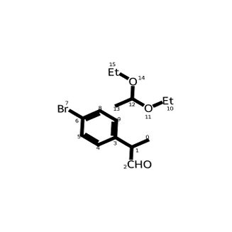 CC(C=O)c1ccc(Br)cc1.CCOC(C)OCC